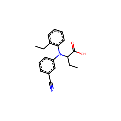 CCc1ccccc1N(c1cccc(C#N)c1)C(CC)C(=O)O